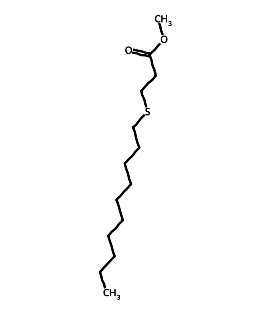 CCCCCCCCCCSCCC(=O)OC